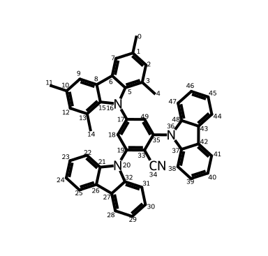 Cc1cc(C)c2c(c1)c1cc(C)cc(C)c1n2-c1cc(-n2c3ccccc3c3ccccc32)c(C#N)c(-n2c3ccccc3c3ccccc32)c1